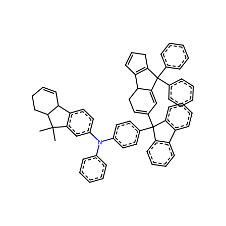 CC1(C)c2cc(N(c3ccccc3)c3ccc(C4(C5=CCC6C(=C5)C(c5ccccc5)(c5ccccc5)C5=C6C=CC5)c5ccccc5-c5ccccc54)cc3)ccc2C2C=CCCC21